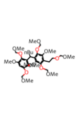 CCCCC(c1c(OC)c(OCOC)cc(OC)c1OCOC)c1c(OC)c(OCOC)c(CCOCOC)c(OC)c1OCOC